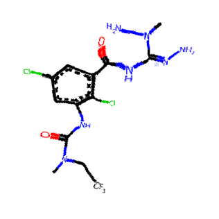 CN(CC(F)(F)F)C(=O)Nc1cc(Cl)cc(C(=O)N/C(=N/N)N(C)N)c1Cl